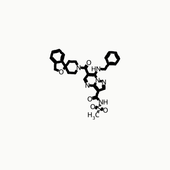 CS(=O)(=O)NC(=O)c1cnn2c(NCc3ccccc3)c(C(=O)N3CCC4(CC3)OCc3ccccc34)cnc12